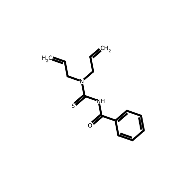 C=CCN(CC=C)C(=S)NC(=O)c1ccccc1